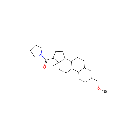 CCOCC1CCC2C(CCC3C2CCC2(C)C(C(=O)N4CCCC4)CCC32)C1